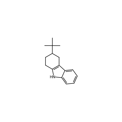 CC(C)(C)C1CCc2[nH]c3ccccc3c2C1